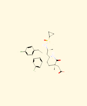 C[C@H](NS(=O)(=O)C1CC1)[C@@H](CCc1ccc(Cl)cc1)[C@H]1NC(=O)[C@](C)(CC(=O)O)C[C@@H]1c1cccc(Cl)c1